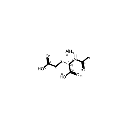 CC(=O)N[C@@H](CCC(=O)O)C(=O)O.[AlH3]